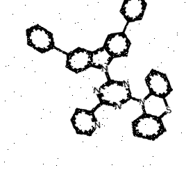 c1ccc(-c2ccc3c(c2)c2cc(-c4ccccc4)ccc2n3-c2nc(-c3ccccn3)nc(N3c4ccccc4Sc4ccccc43)n2)cc1